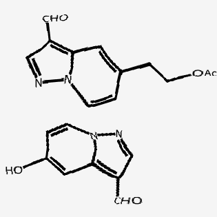 CC(=O)OCCc1ccn2ncc(C=O)c2c1.O=Cc1cnn2ccc(O)cc12